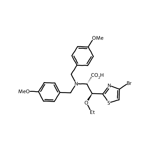 CCO[C@H](c1nc(Br)cs1)[C@@H](C(=O)O)N(Cc1ccc(OC)cc1)Cc1ccc(OC)cc1